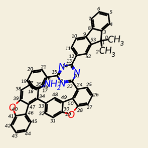 CC1(C)c2ccccc2-c2ccc(-c3nc(-c4ccccc4)nc(-c4cccc5oc6ccc(-c7c(N)ccc8oc9ccccc9c78)cc6c45)n3)cc21